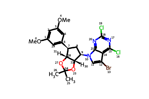 COc1cc(OC)cc([C@H]2C[C@@H](n3cc(Br)c4c(Cl)nc(Cl)nc43)[C@@H]3OC(C)(C)O[C@@H]32)c1